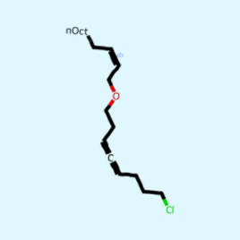 CCCCCCCCC/C=C\COCCC=C=CCCCCl